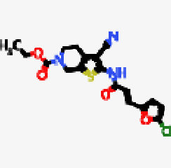 CCOC(=O)N1CCc2c(sc(NC(=O)C=Cc3ccc(Cl)o3)c2C#N)C1